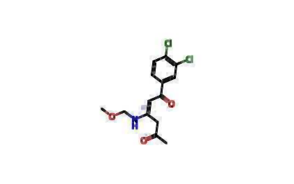 COCN/C(=C/C(=O)c1ccc(Cl)c(Cl)c1)CC(C)=O